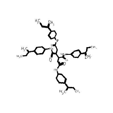 CCC(C)C1CCC(NC(=O)CC(C(=O)NC2CCC(C(C)CC)CC2)C(CC(=O)NC2CCC(C(C)CC)CC2)C(=O)NC2CCC(C(C)CC)CC2)CC1